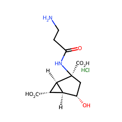 Cl.NCCC(=O)N[C@@]1(C(=O)O)C[C@H](O)[C@H]2[C@H](C(=O)O)[C@H]21